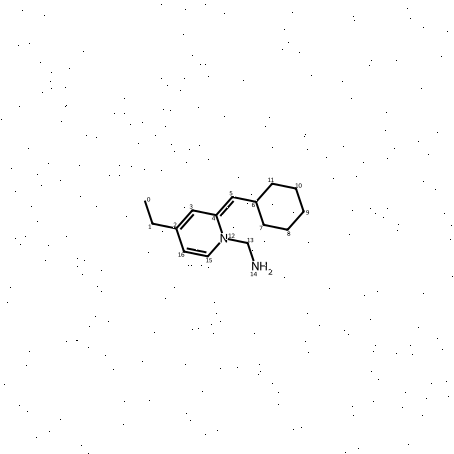 CCC1=C/C(=C/C2CCCCC2)N(CN)C=C1